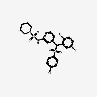 O=S(=O)(c1ccc(Cl)cc1)C(c1ccnc(NS(=O)(=O)N2CCCCC2)c1)c1cc(F)ccc1F